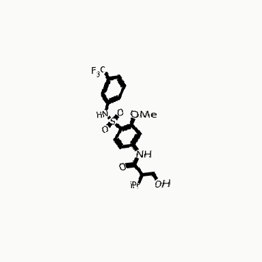 COc1cc(NC(=O)C(CO)C(C)C)ccc1S(=O)(=O)Nc1cccc(C(F)(F)F)c1